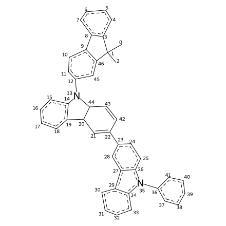 CC1(C)c2ccccc2-c2ccc(N3c4ccccc4C4C=C(c5ccc6c(c5)c5ccccc5n6-c5ccccc5)C=CC43)cc21